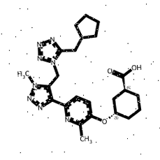 Cc1nc(-c2nnn(C)c2Cn2nnnc2CC2CCCC2)ccc1O[C@H]1CCC[C@H](C(=O)O)C1